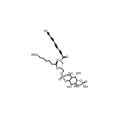 C#CC#CC#CC#CC(=O)OC[C@H](COP(=O)(O)OC1C(O)[C@H](O)[C@H](OP(=O)(O)O)C(O)[C@@H]1O)OC(=O)CCCCCCCCCCCCCCC